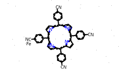 N#Cc1ccc(-c2c3nc(c(-c4ccc(C#N)cc4)c4ccc([nH]4)c(-c4ccc(C#N)cc4)c4nc(c(-c5ccc(C#N)cc5)c5ccc2[nH]5)C=C4)C=C3)cc1.[Fe]